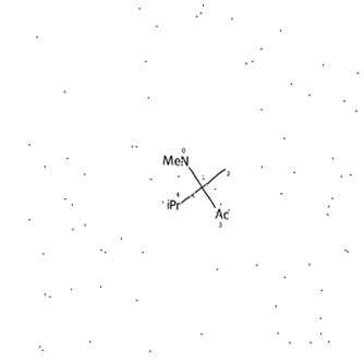 CNC(C)(C(C)=O)C(C)C